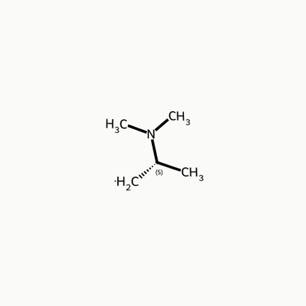 [CH2][C@@H](C)N(C)C